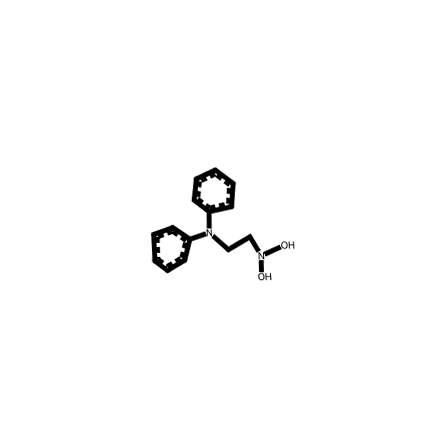 ON(O)CCN(c1ccccc1)c1ccccc1